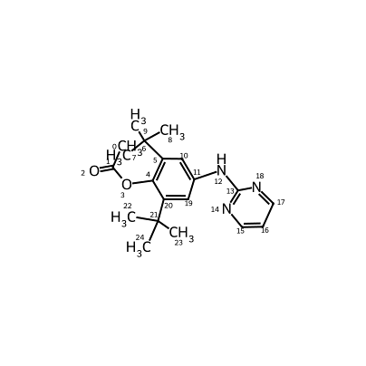 CC(=O)Oc1c(C(C)(C)C)cc(Nc2ncccn2)cc1C(C)(C)C